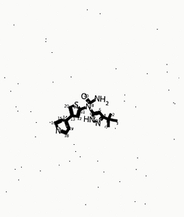 CC(C)(C)c1cc(N(C(N)=O)c2cc(-c3ccncc3)cs2)[nH]n1